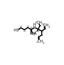 C=CCC(C=C)C(C)(CC)NC(=N)CCCS